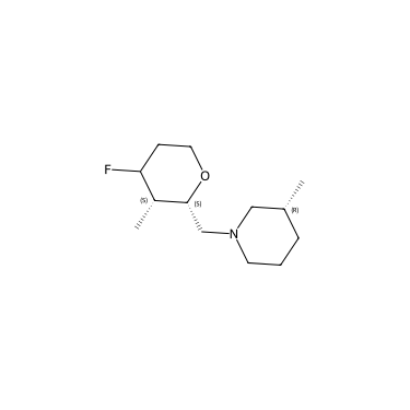 C[C@@H]1CCCN(C[C@H]2OCCC(F)[C@H]2C)C1